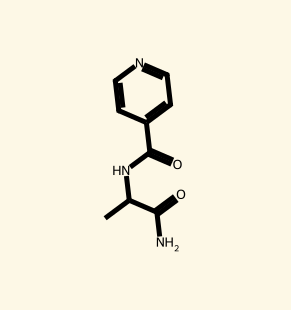 CC(NC(=O)c1ccncc1)C(N)=O